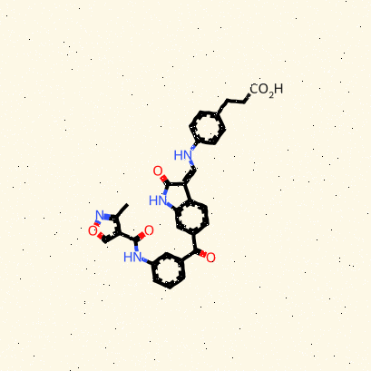 Cc1nocc1C(=O)Nc1cccc(C(=O)c2ccc3c(c2)NC(=O)/C3=C\Nc2ccc(CCC(=O)O)cc2)c1